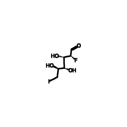 O=C[C@H](F)[C@@H](O)[C@H](O)[C@H](O)CI